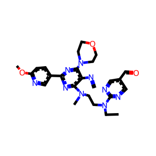 C=Nc1c(N(C)CCN(CC)c2ncc(C=O)cn2)nc(-c2ccc(OC)nc2)nc1N1CCOCC1